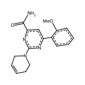 COc1ccccc1-c1cc(C(N)=O)nc(N2CC=CCC2)n1